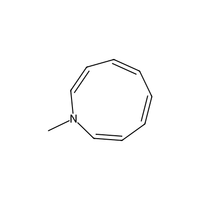 Cn1cccccccc1